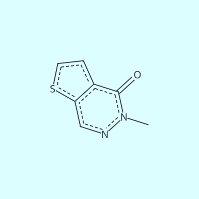 Cn1ncc2sccc2c1=O